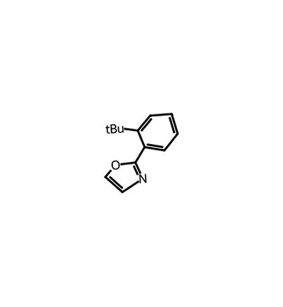 CC(C)(C)c1ccccc1-c1ncco1